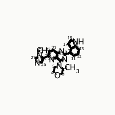 C[C@@H]1COCCN1c1nc(-c2cccc3[nH]ccc23)nc2ccc(-c3cncn3C)nc12